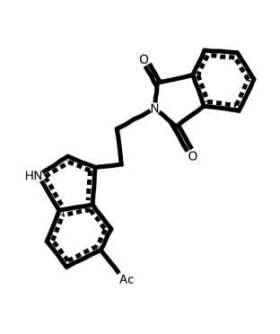 CC(=O)c1ccc2[nH]cc(CCN3C(=O)c4ccccc4C3=O)c2c1